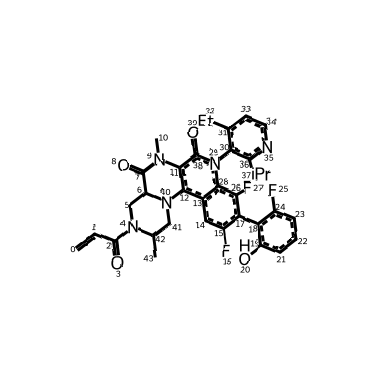 C=CC(=O)N1CC2C(=O)N(C)c3c(c4cc(F)c(-c5c(O)cccc5F)c(F)c4n(-c4c(CC)ccnc4C(C)C)c3=O)N2CC1C